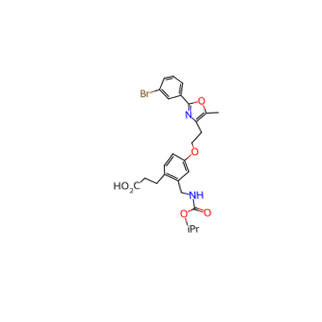 Cc1oc(-c2cccc(Br)c2)nc1CCOc1ccc(CCC(=O)O)c(CNC(=O)OC(C)C)c1